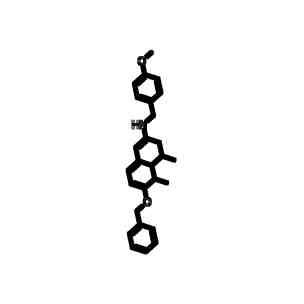 COc1ccc(CNC2=CC3=CC=C(OCc4ccccc4)C(C)C3C(C)C2)cc1